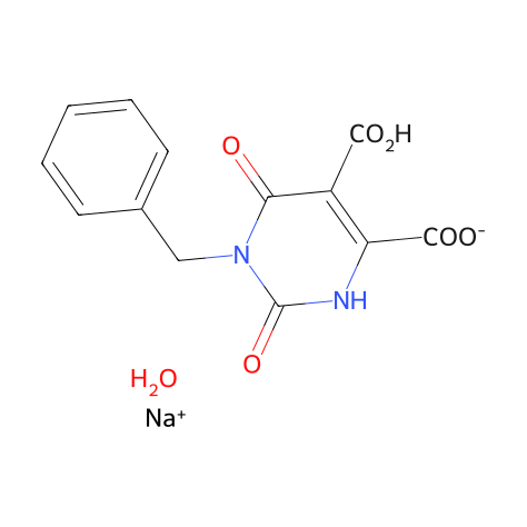 O.O=C([O-])c1[nH]c(=O)n(Cc2ccccc2)c(=O)c1C(=O)O.[Na+]